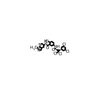 Cn1ncc2cc(NC(=O)c3cc(NC(=O)[C@H]4[C@H](c5cc(Cl)cc(Cl)c5)C4(Cl)Cl)ccc3Cl)cnc21